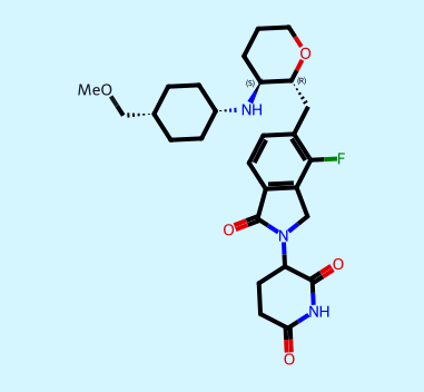 COC[C@H]1CC[C@@H](N[C@H]2CCCO[C@@H]2Cc2ccc3c(c2F)CN(C2CCC(=O)NC2=O)C3=O)CC1